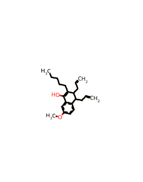 C=CCC1C(CCCCC)=C(O)c2cc(OC)ccc2C1CC=C